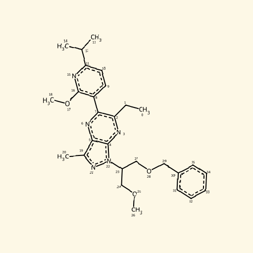 CCc1nc2c(nc1-c1ccc(C(C)C)nc1OC)c(C)nn2C(COC)COCc1ccccc1